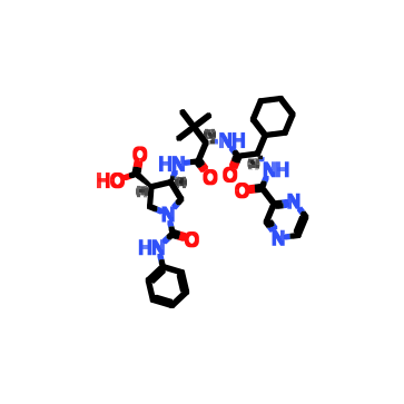 CC(C)(C)[C@H](NC(=O)[C@@H](NC(=O)c1cnccn1)C1CCCCC1)C(=O)N[C@H]1CN(C(=O)Nc2ccccc2)C[C@H]1C(=O)O